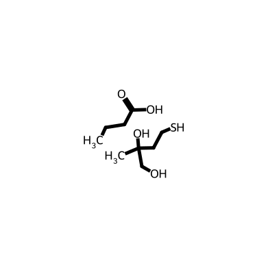 CC(O)(CO)CCS.CCCC(=O)O